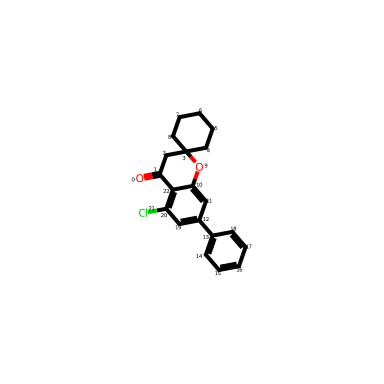 O=C1CC2(CCCCC2)Oc2cc(-c3ccccc3)cc(Cl)c21